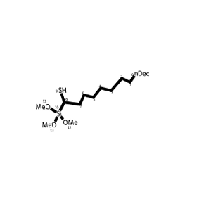 CCCCCCCCCCCCCCCCCC(S)[Si](OC)(OC)OC